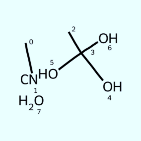 CC#N.CC(O)(O)O.O